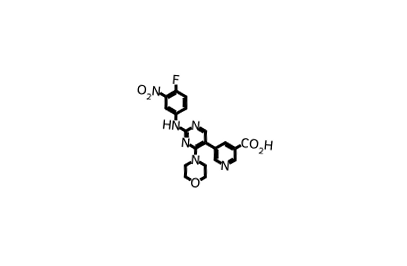 O=C(O)c1cncc(-c2cnc(Nc3ccc(F)c([N+](=O)[O-])c3)nc2N2CCOCC2)c1